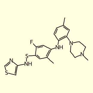 Cc1ccc(Nc2cc(F)c(SNc3cscn3)cc2C)c(N2CCN(C)CC2)c1